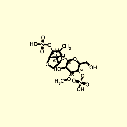 CO[C@@H]1C(O)[C@H](O[C@H]2C3COC2[C@H](OS(=O)(=O)O)[C@@H](C)O3)OC(CO)[C@@H]1OS(=O)(=O)O